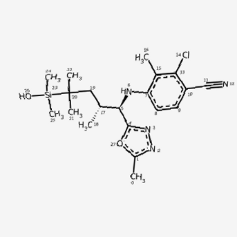 Cc1nnc([C@H](Nc2ccc(C#N)c(Cl)c2C)[C@H](C)CC(C)(C)[Si](C)(C)O)o1